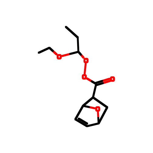 CCOC(CC)OOC(=O)C1CC2C=CC1O2